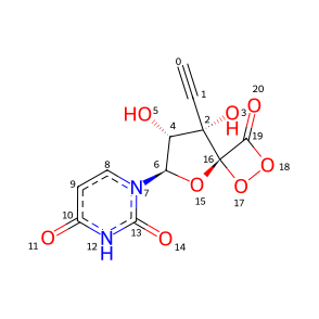 C#C[C@]1(O)[C@@H](O)[C@H](n2ccc(=O)[nH]c2=O)O[C@@]12OOC2=O